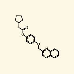 O=C(CC1CCCC1)Oc1ccc(OCc2ccc3ccccc3n2)cc1